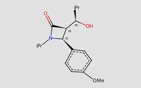 COc1ccc([C@@H]2[C@H]([C@H](O)C(C)C)C(=O)N2C(C)C)cc1